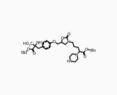 CC(C)(C)OC(=O)C(CCCN1CC(COc2ccc(CC(N)(C(=O)O)C(=O)OC(C)(C)C)cc2)OC1=O)N1CCNCC1